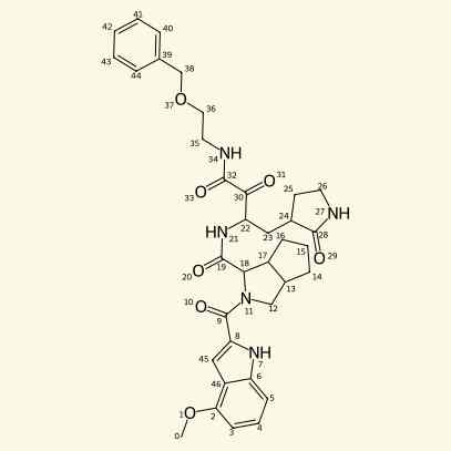 COc1cccc2[nH]c(C(=O)N3CC4CCCC4C3C(=O)NC(CC3CCNC3=O)C(=O)C(=O)NCCOCc3ccccc3)cc12